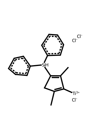 CC1=[C]([Ti+3])C(C)=C([SiH](c2ccccc2)c2ccccc2)C1.[Cl-].[Cl-].[Cl-]